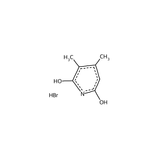 Br.Cc1cc(O)nc(O)c1C